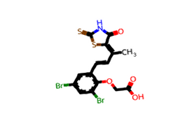 CC(C=Cc1cc(Br)cc(Br)c1OCC(=O)O)=C1SC(=S)NC1=O